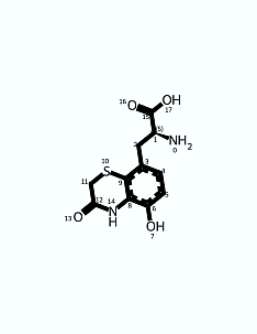 N[C@@H](Cc1ccc(O)c2c1SCC(=O)N2)C(=O)O